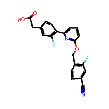 N#Cc1ccc(COc2cccc(-c3ccc(CC(=O)O)cc3F)n2)c(F)c1